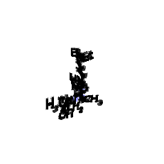 C=N\C(=C/C(/C=N/CC(C)(C)CO)=C\C)CNCCCCN(CC)CC